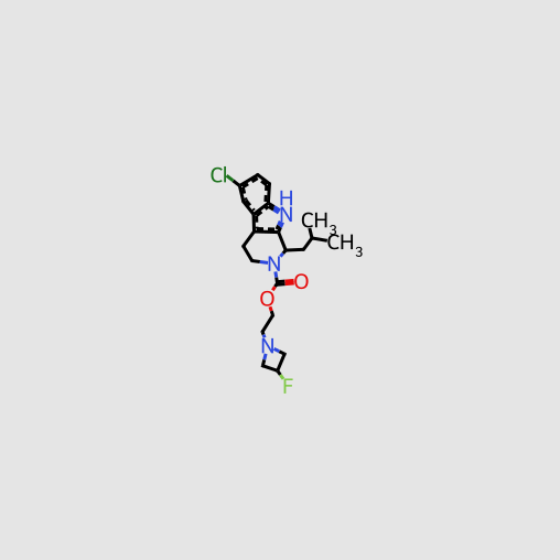 CC(C)CC1c2[nH]c3ccc(Cl)cc3c2CCN1C(=O)OCCN1CC(F)C1